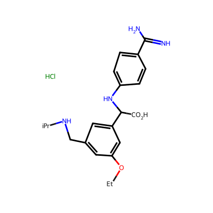 CCOc1cc(CNC(C)C)cc(C(Nc2ccc(C(=N)N)cc2)C(=O)O)c1.Cl